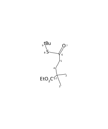 CCOC(=O)C(C)(C)CCC(=O)SC(C)(C)C